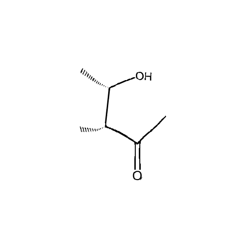 CC(=O)[C@H](C)[C@H](C)O